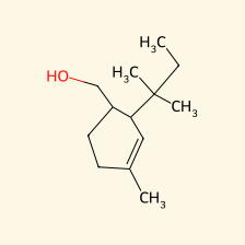 CCC(C)(C)C1C=C(C)CCC1CO